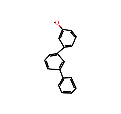 [O]c1cccc(-c2cccc(-c3ccccc3)c2)c1